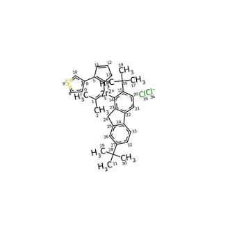 C[C](C)=[Zr+2]([C]1=C(c2ccsc2)C=CC1)[c]1c(C(C)(C)C)ccc2c1Cc1cc(C(C)(C)C)ccc1-2.[Cl-].[Cl-]